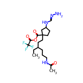 CCC(CCCNC(C)=O)CCC1(C(=O)OC(=O)C(F)(F)F)CCC(NC=NN)C1